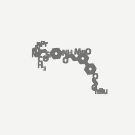 CCCCOCCOc1ccc(-c2ccc(OC)c(/C=C/C(=O)Nc3ccc([S+]([O-])Cc4c(C)ncn4CCC)cc3)c2)cc1